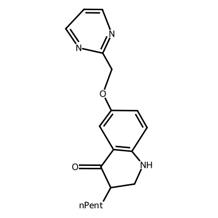 CCCCCC1CNc2ccc(OCc3ncccn3)cc2C1=O